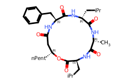 CCCCC[C@@H]1CC(=O)N[C@@H](Cc2ccccc2)C(=O)N[C@H](CC(C)C)C(=O)N[C@H](C)C(=O)N[C@@H](CC(C)C)C(=O)O1